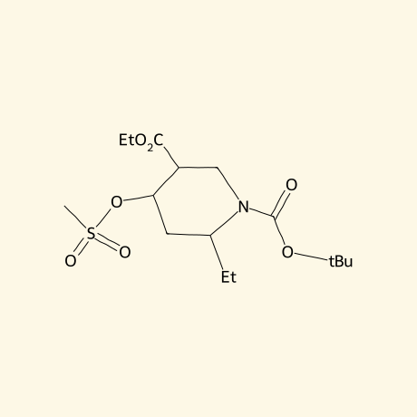 CCOC(=O)C1CN(C(=O)OC(C)(C)C)C(CC)CC1OS(C)(=O)=O